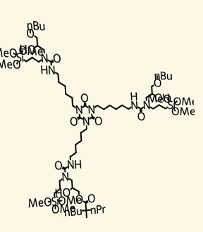 CCCCOCC(O)CN(CCC[Si](OC)(OC)OC)C(=O)NCCCCCCn1c(=O)n(CCCCCCNC(=O)N(CCC[Si](OC)(OC)OC)CC(O)COCCCC)c(=O)n(CCCCCCNC(=O)N(CCC[Si](OC)(OC)OC)CC(O)COC(=O)C(C)(CCC)CCCC)c1=O